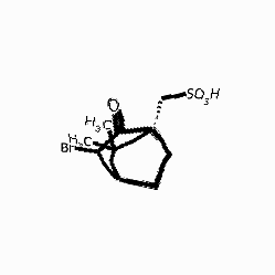 CC1(C)C2CC[C@]1(CS(=O)(=O)O)C(=O)C2Br